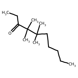 CCCCCC(C)(C)C(C)(C)C(=O)CC